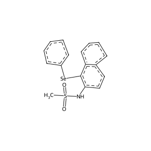 CS(=O)(=O)Nc1ccc2ccccc2c1[Se]c1ccccc1